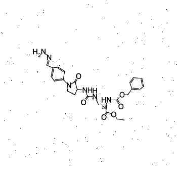 CCOC(=O)[C@H](CNC(=O)NC1CCN(c2ccc(C=NN)cc2)C1=O)NC(=O)OCc1ccccc1